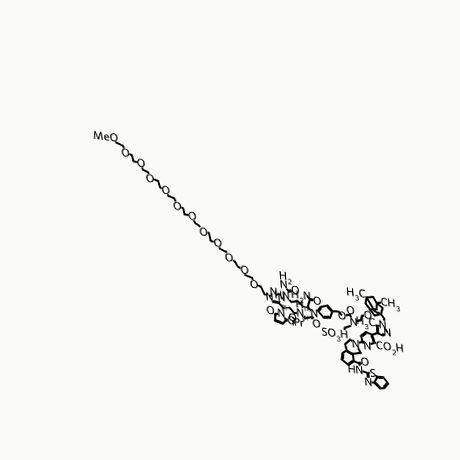 COCCOCCOCCOCCOCCOCCOCCOCCOCCOCCOCCOCCn1cc([C@@H](CC(=O)N[C@H](C(=O)N(c2ccc(COC(=O)N(CCOC34CC5(C)CC(C)(CC(Cn6ncc(-c7ccc(N8CCc9cccc(C(=O)Nc%10nc%11ccccc%11s%10)c9C8)nc7C(=O)O)c6C)(C5)C3)C4)CCS(=O)(=O)O)cc2)[C@@H](CCCNC(N)=O)C(N)=O)C(C)C)N2C(=O)C=CC2=O)nn1